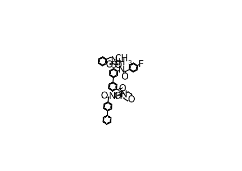 CN(Cc1ccccc1)S(=O)(=O)c1ccc(-c2ccc(NC(=O)c3ccc(-c4ccccc4)cc3)c(S(=O)(=O)N3CCOCC3)c2)cc1NC(=O)c1ccc(F)cc1